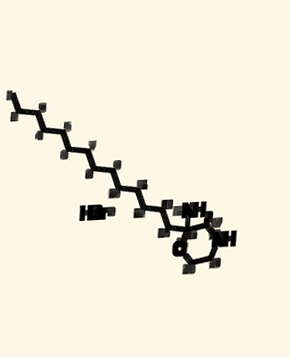 Br.CCCCCCCCCCCCCCC1(N)CNCCO1